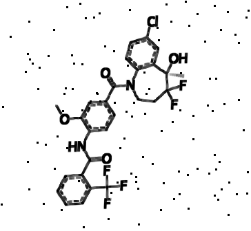 COc1cc(C(=O)N2CCC(F)(F)[C@](C)(O)c3cc(Cl)ccc32)ccc1NC(=O)c1ccccc1C(F)(F)F